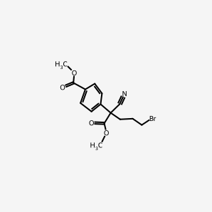 COC(=O)c1ccc(C(C#N)(CCCBr)C(=O)OC)cc1